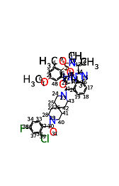 COc1cc(C)c(S(=O)(=O)N(C)C(C)c2nc3cccc(C(=O)N4CCC5(CCN(C(=O)c6ccc(F)cc6Cl)CC5)CC4)c3[nH]2)c(C)c1